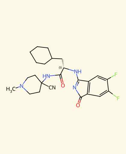 CN1CCC(C#N)(NC(=O)[C@H](CC2CCCCC2)NC2=NC(=O)c3cc(F)c(F)cc32)CC1